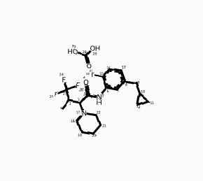 CC(C(C(=O)Nc1cc(CC2CC2)ccc1F)N1CCCCC1)C(F)(F)F.O=C(O)O